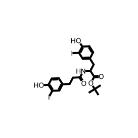 CC(C)(C)OC(=O)C(Cc1ccc(O)c(I)c1)NC(=O)CCc1ccc(O)c(I)c1